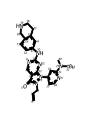 C=CCn1c(=O)c2cnc(Nc3ccc4c(c3)CCNC4)nc2n1-c1ccnc(N(C)C(C)(C)C)c1